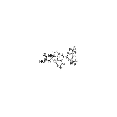 C[C@]1([C@@H]2CC[C@H](OCc3cc(C(F)(F)F)cc(C(F)(F)F)c3)C2c2ccc(F)cc2)C[C@H](O)C(=O)N1